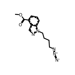 COC(=O)c1cccc2c1cnn2CCCCN=[N+]=[N-]